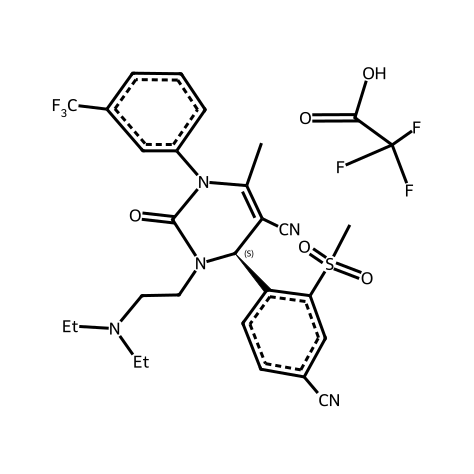 CCN(CC)CCN1C(=O)N(c2cccc(C(F)(F)F)c2)C(C)=C(C#N)[C@H]1c1ccc(C#N)cc1S(C)(=O)=O.O=C(O)C(F)(F)F